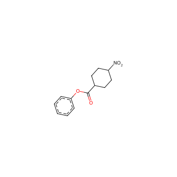 O=C(Oc1ccccc1)C1CCC([N+](=O)[O-])CC1